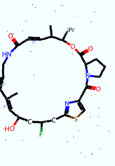 CC1=C\C(O)CC(F)Cc2nc(cs2)C(=O)N2CCCC2C(=O)OC(C(C)C)C(C)/C=C/C(=O)NC\C=C\1